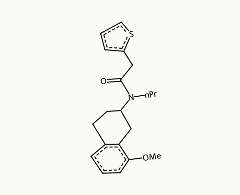 CCCN(C(=O)Cc1cccs1)C1CCc2cccc(OC)c2C1